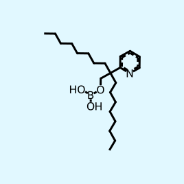 CCCCCCCCC(CCCCCCCC)(COB(O)O)c1ccccn1